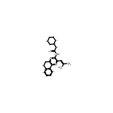 CC(C)=Cc1nc2c(nc1NC(=O)CC1CCCCC1)CCc1ccccc1-2